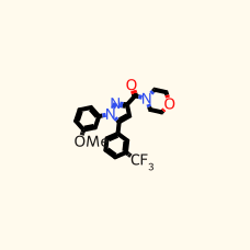 COc1cccc(-n2nc(C(=O)N3CCOCC3)cc2-c2cccc(C(F)(F)F)c2)c1